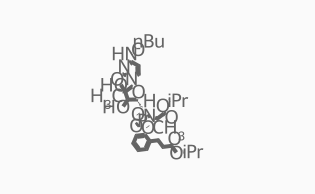 CCCCONc1ccn([C@@H]2O[C@H](COP(=O)(N[C@@H](C)C(=O)OC(C)C)Oc3ccccc3CCC(=O)OC(C)C)C(O)[C@@]2(C)O)c(=O)n1